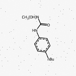 CCCCc1ccc(NC(=O)N(C)O)cc1